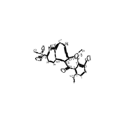 COc1ccc(Cl)c(F)c1C(=O)c1c(OC)ccc2nc(S(C)(=O)=O)ccc12